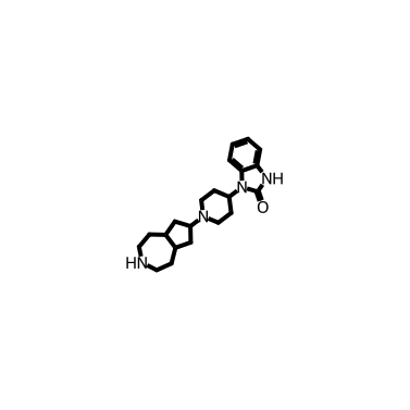 O=c1[nH]c2ccccc2n1C1CCN(C2CC3CCNCCC3C2)CC1